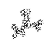 CC1(C)c2cc3c4ccccc4c4ccccc4c3cc2-c2ccc3c(c21)c1cc(-c2cnc4c(c2)c2ccccc2n4-c2ccccc2)ccc1n3-c1ccc2c(c1)c1ccccc1n2-c1nc(-c2ccccc2)nc(-c2ccccc2)n1